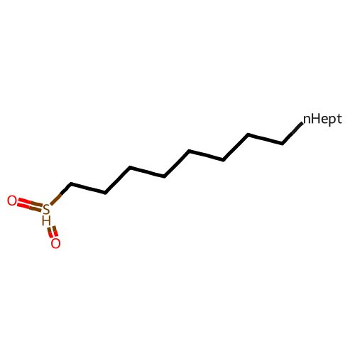 CCCCCCCCCCCCCCC[SH](=O)=O